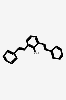 Oc1c(C=Cc2ccccc2)cccc1C=Cc1ccccc1